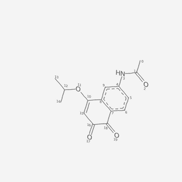 CC(=O)Nc1ccc2c(c1)C(OC(C)C)=CC(=O)C2=O